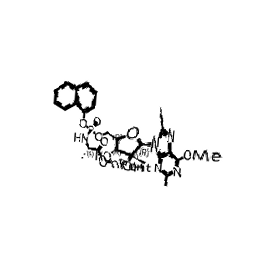 CCCCCOC(=O)[C@H](C)NP(=O)(OC[C@H]1O[C@@H](n2c(I)nc3c(OC)nc(C)nc32)[C@](C)(O)[C@@H]1O)Oc1cccc2ccccc12